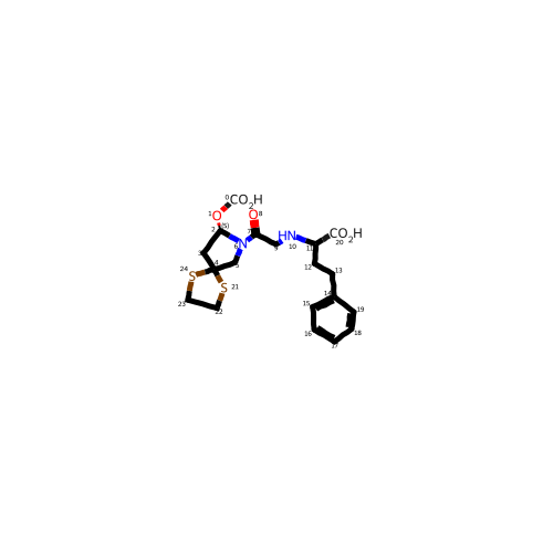 O=C(O)O[C@H]1CC2(CN1C(=O)CNC(CCc1ccccc1)C(=O)O)SCCS2